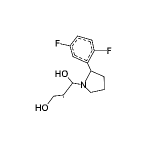 OC[CH]C(O)N1CCCC1c1cc(F)ccc1F